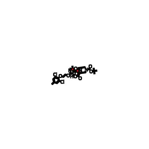 Cc1cc(Cl)c(OCCOc2ncc(C3=C(C(=O)O)C4CN(C(=O)OC(C)(C)C)CC(C3)N4C(=O)OC(C)(C)C)s2)c(Cl)c1